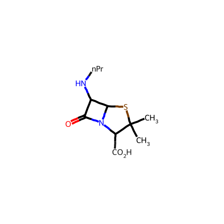 CCCNC1C(=O)N2C1SC(C)(C)C2C(=O)O